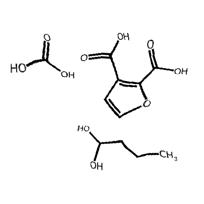 CCCC(O)O.O=C(O)O.O=C(O)c1ccoc1C(=O)O